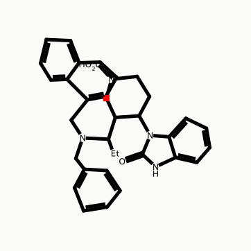 CCC(C1CN(C(=O)O)CCC1n1c(=O)[nH]c2ccccc21)N(Cc1ccccc1)Cc1cccc2ccccc12